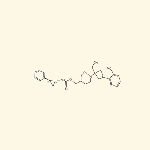 N#CCC1(N2CCC(COC(=O)N[C@@H]3C[C@H]3c3ccccc3)CC2)CN(c2ncccc2C#N)C1